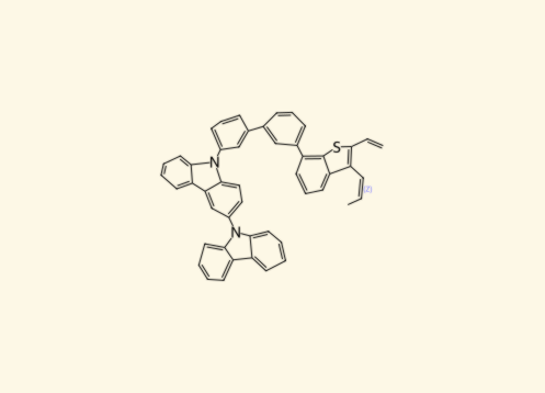 C=Cc1sc2c(-c3cccc(-c4cccc(-n5c6ccccc6c6cc(-n7c8ccccc8c8ccccc87)ccc65)c4)c3)cccc2c1/C=C\C